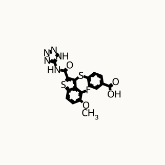 COc1ccc2sc(C(=O)Nc3nnn[nH]3)c(Sc3ccc(C(=O)O)cc3)c2c1F